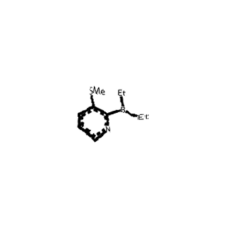 CCB(CC)c1ncccc1SC